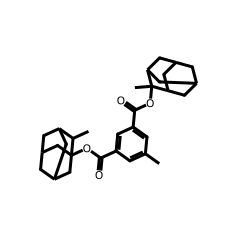 Cc1cc(C(=O)OC23CC4CC(CC(C4)C2C)C3)cc(C(=O)OC2(C)C3CC4CC(C3)CC2C4)c1